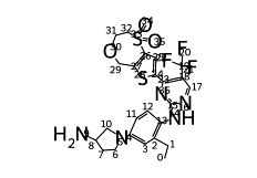 CCc1cc(N2CCC(N)C2)ccc1Nc1ncc(C(F)(F)F)c(-c2cc3c(s2)COCCS3(=O)=O)n1